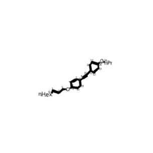 CCCCCCC=CCOc1ccc(C#Cc2ccc(OCCC)cc2)cc1